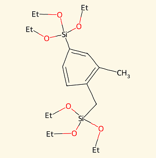 CCO[Si](Cc1ccc([Si](OCC)(OCC)OCC)cc1C)(OCC)OCC